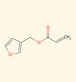 C=CC(=O)OCc1ccoc1